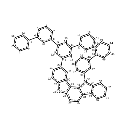 c1ccc(-c2cccc(-c3nc(-c4ccccc4)nc(-c4ccc5oc6ccc7c8ccccc8n(-c8cccc(-c9ccccc9)c8)c7c6c5c4)n3)c2)cc1